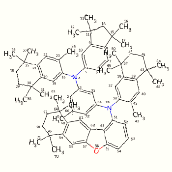 Cc1cc(N(c2ccc3c(c2)C(C)(C)CC3(C)C)c2cc3c(cc2C)C(C)(C)CCC3(C)C)cc(N(c2cc3c(cc2C)C(C)(C)CCC3(C)C)c2cccc3oc4cc5c(cc4c23)C(C)(C)CCC5(C)C)c1